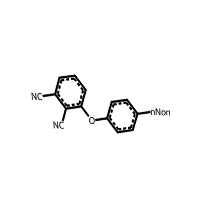 CCCCCCCCCc1ccc(Oc2cccc(C#N)c2C#N)cc1